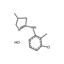 Cc1c(Cl)cccc1NC1=NCC(C)C1.Cl